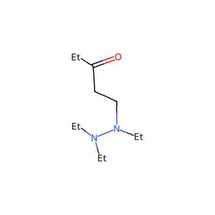 CCC(=O)CCN(CC)N(CC)CC